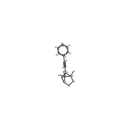 CC1(C)C2CCC1(C)C(C#Cc1ccccc1)C2